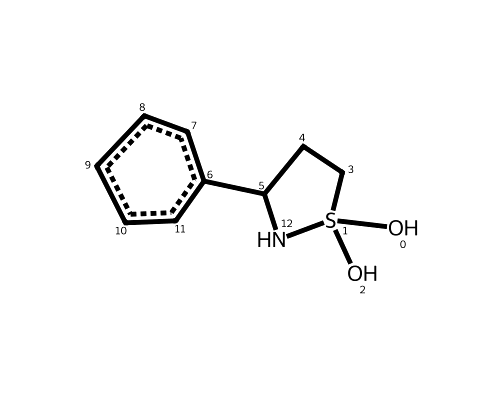 OS1(O)CCC(c2ccccc2)N1